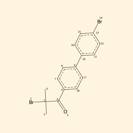 CC(C)(Br)C(=O)c1ccc(-c2ccc(Br)cc2)cc1